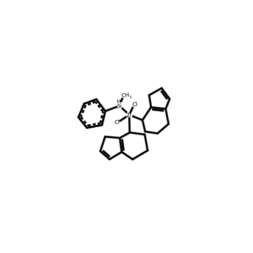 C[SiH](c1ccccc1)[Zr]([Cl])([Cl])([CH]1CCCC2=C1CC=C2)[CH]1CCCC2=C1CC=C2